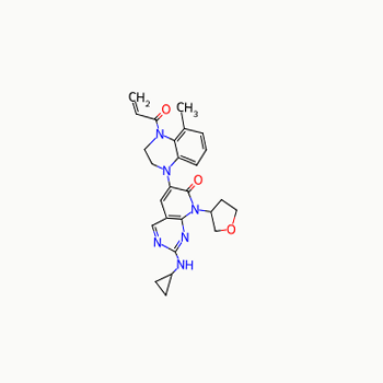 C=CC(=O)N1CCN(c2cc3cnc(NC4CC4)nc3n(C3CCOC3)c2=O)c2cccc(C)c21